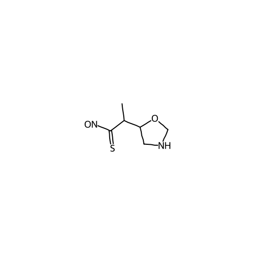 CC(C(=S)N=O)C1CNCO1